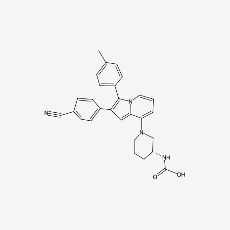 Cc1ccc(-c2c(-c3ccc(C#N)cc3)cc3c(N4CCC[C@@H](NC(=O)O)C4)cccn23)cc1